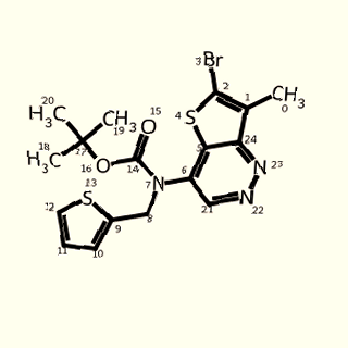 Cc1c(Br)sc2c(N(Cc3cccs3)C(=O)OC(C)(C)C)cnnc12